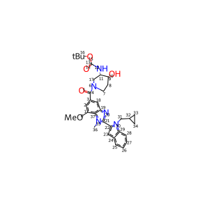 COc1cc(C(=O)N2CC[C@@H](O)[C@@H](NC(=O)OC(C)(C)C)C2)cc2nc(-c3cc4ccccc4n3CC3CC3)n(C)c12